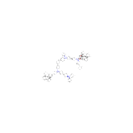 c1ccc(-c2ccc(N(c3ccc(-c4ccc(-n5c6ccccc6c6cc(-c7cccc(-c8ccc(N(c9ccc(-c%10ccc(-n%11c%12ccccc%12c%12ccccc%12%11)cc%10)cc9)c9ccc(-c%10ccc%11c(c%10)-c%10ccccc%10C%11%10c%11ccccc%11-c%11ccccc%11%10)cc9)cc8)c7)ccc65)cc4)cc3)c3ccc(-c4cccc5c4C4(c6ccccc6-c6ccccc64)c4ccccc4-5)cc3)cc2)cc1